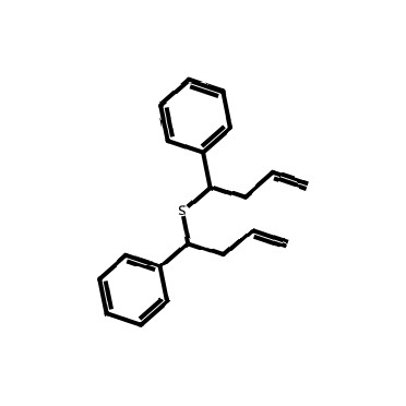 C=CCC(SC(CC=C)c1ccccc1)c1ccccc1